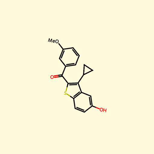 COc1cccc(C(=O)c2sc3ccc(O)cc3c2C2CC2)c1